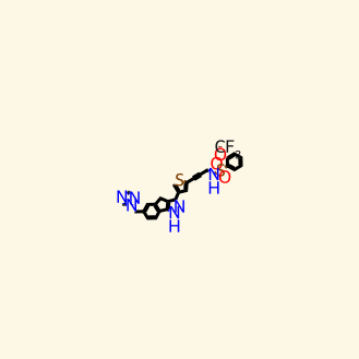 O=S(=O)(NCC#Cc1cc(-c2n[nH]c3c2Cc2cc(Cn4cncn4)ccc2-3)cs1)c1ccccc1OC(F)(F)F